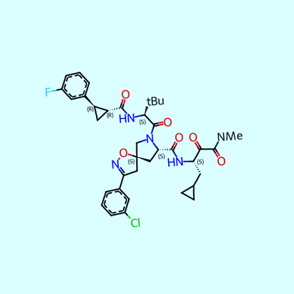 CNC(=O)C(=O)[C@H](CC1CC1)NC(=O)[C@@H]1C[C@]2(CC(c3cccc(Cl)c3)=NO2)CN1C(=O)[C@@H](NC(=O)[C@@H]1C[C@H]1c1cccc(F)c1)C(C)(C)C